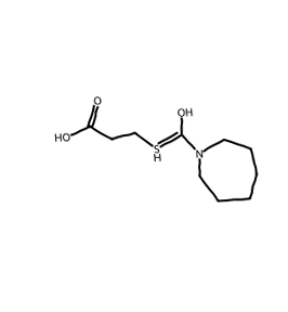 O=C(O)CC[SH]=C(O)N1CCCCCC1